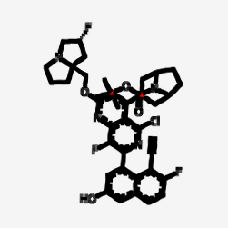 C#Cc1c(F)ccc2cc(O)cc(-c3nc(Cl)c4c(N5CC6CCC(C5)N6C(=O)OC(C)(C)C)nc(OC[C@@]56CCCN5C[C@H](F)C6)nc4c3F)c12